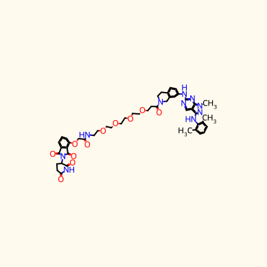 Cc1cccc(C)c1Nc1nn(C)c2nc(Nc3ccc4c(c3)CN(C(=O)CCOCCOCCOCCOCCNC(=O)COc3cccc5c3C(=O)N(C3CCC(=O)NC3=O)C5=O)CC4)ncc12